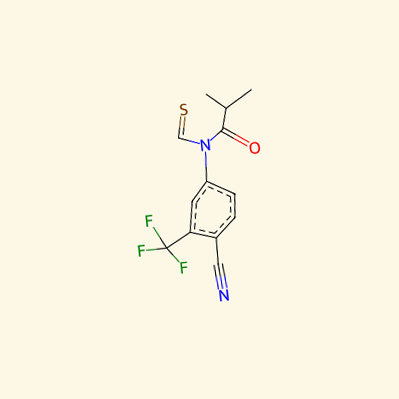 CC(C)C(=O)N(C=S)c1ccc(C#N)c(C(F)(F)F)c1